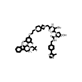 Cc1ncsc1-c1ccc(CNC(=O)[C@@H]2C[C@@H](O)CN2C(=O)C(NC(=O)CN2CC3(CCN(CCOc4cc(F)c([C@@H]5c6[nH]c7ccccc7c6C[C@@H](C)N5CC(C)(C)F)c(F)c4)CC3)C2)C(C)(C)C)cc1